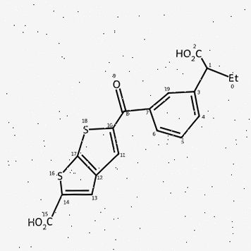 CCC(C(=O)O)c1cccc(C(=O)c2cc3cc(C(=O)O)sc3s2)c1